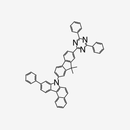 CC1(C)c2cc(-c3nc(-c4ccccc4)nc(-c4ccccc4)n3)ccc2-c2ccc(-n3c4cc(-c5ccccc5)ccc4c4c5ccccc5ccc43)cc21